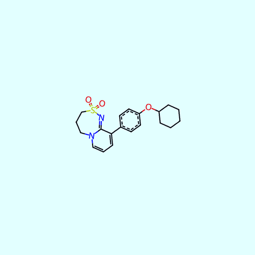 O=S1(=O)CCCN2C=CC=C(c3ccc(OC4CCCCC4)cc3)C2=N1